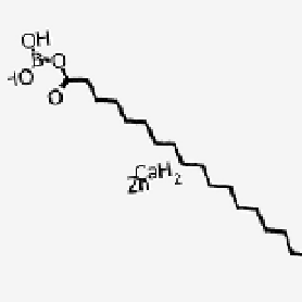 CCCCCCCCCCCCCCCCCC(=O)OB(O)O.[CaH2].[Zn]